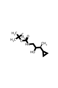 C[C@H](C(O)CNC(=O)OC(C)(C)C)C1CC1